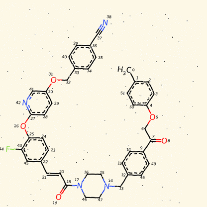 Cc1ccc(OCC(=O)c2ccc(CN3CCN(C(=O)/C=C/c4ccc(Oc5ccc(OCc6ccc(C#N)cc6)cn5)c(F)c4)CC3)cc2)cc1